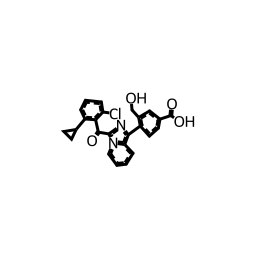 O=C(O)c1ccc(-c2nc(C(=O)c3c(Cl)cccc3C3CC3)n3ccccc23)c(CO)c1